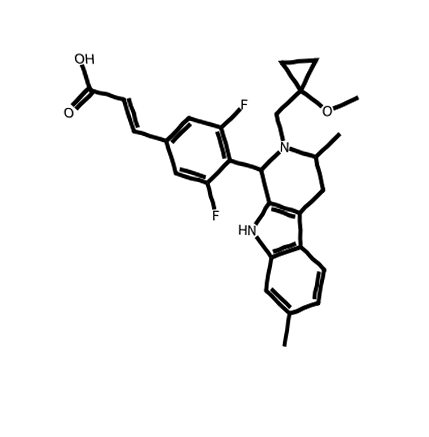 COC1(CN2C(C)Cc3c([nH]c4cc(C)ccc34)C2c2c(F)cc(/C=C/C(=O)O)cc2F)CC1